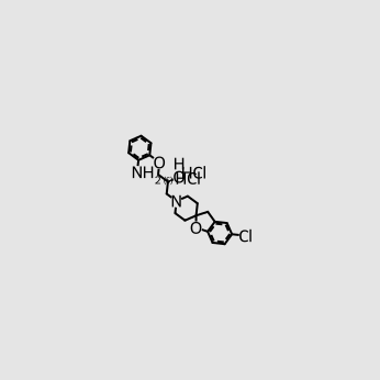 Cl.Cl.Nc1ccccc1OC[C@@H](O)CN1CCC2(CC1)Cc1cc(Cl)ccc1O2